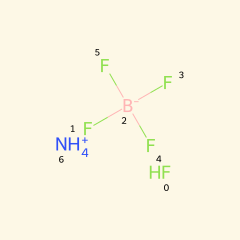 F.F[B-](F)(F)F.[NH4+]